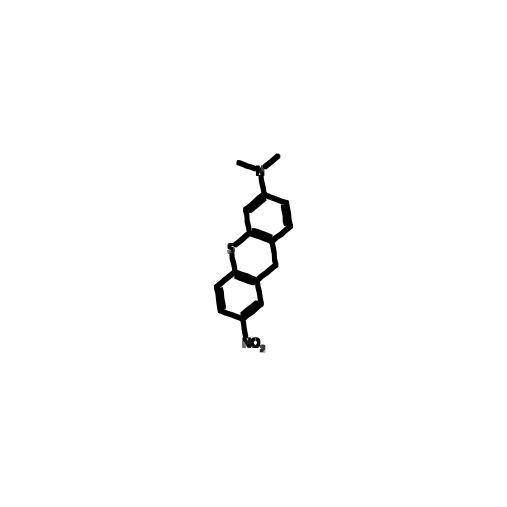 CN(C)c1ccc2c(c1)Sc1ccc([N+](=O)[O-])cc1C2